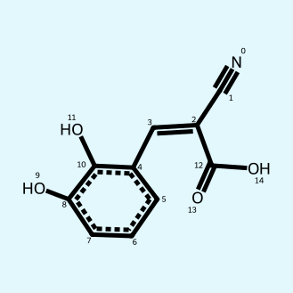 N#CC(=Cc1cccc(O)c1O)C(=O)O